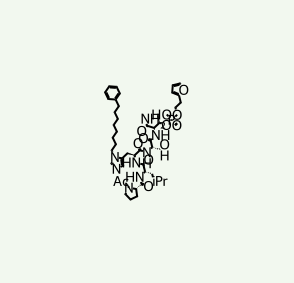 CC(=O)N1CCC[C@H]1C(=O)N[C@@H](CC(C)C)C(=O)N[C@@H](Cc1cncn1CCCCCCCCc1ccccc1)C(=O)N[C@@H](CO)C(=O)N[C@H](C(N)=O)[C@@H](C)OP(=O)(O)OCCc1ccco1